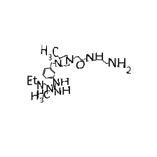 CCNCN(C)C(=N)Nc1cccc(CN2CCN(CC(=O)NCCCN)CC2C)c1